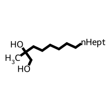 CCCCCCCCCCCCCC(C)(O)CO